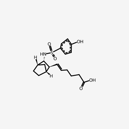 O=C(O)CCCC=C[C@H]1[C@@H]2CC[C@@H](C2)[C@@H]1NS(=O)(=O)c1ccc(O)cc1